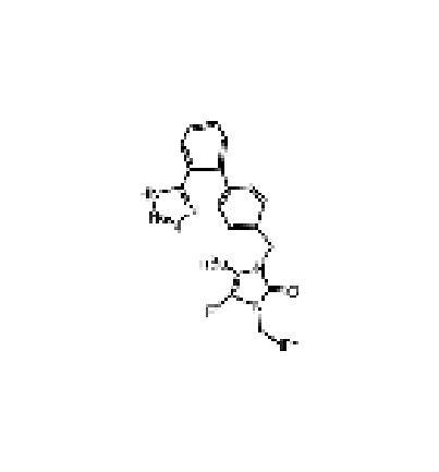 CCCCc1c(F)n(CC(C)C)c(=O)n1Cc1ccc(-c2ccccc2-c2nnn[nH]2)cc1